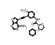 Cc1ccc(NC(=O)N2OCC[C@@H]2c2ccccc2)cc1C#Cc1csc2ncnc(N)c12